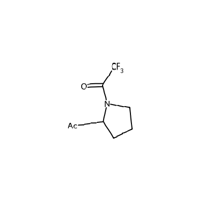 CC(=O)C1CCCN1C(=O)C(F)(F)F